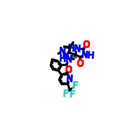 Cc1cn(C)nc1[C@@]1(CNC(=O)c2ccccc2-c2ccc(C(F)(F)F)nc2)NC(=O)NC1=O